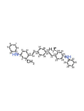 Cc1cc(Nc2ccccc2)ccc1C=Cc1ccc(C=Cc2ccc(Nc3ccccc3)cc2C)cc1